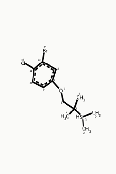 C[SiH](C)C(C)(C)COc1ccc(Cl)c(Br)c1